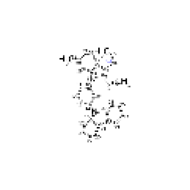 C=Cc1c(/C=C\C)c2c(n1-c1cccc(-n3c4ccccc4c4ccccc43)c1)=CC(C)CC=2